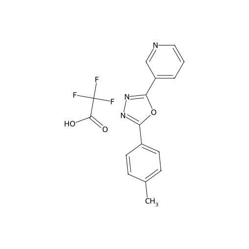 Cc1ccc(-c2nnc(-c3cccnc3)o2)cc1.O=C(O)C(F)(F)F